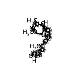 Cc1cc2cc(n1)-c1cnn(C)c1OCCC[C@@H](C)CN1/C(=N/C2=O)Nc2ccc(CN3CCC4(CCN(CCN(C)c5cccc6c5CN(C5CCC(=O)NC5=O)C6=O)CC4)CC3)cc21